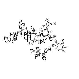 CCCC(C)(CNC(=O)c1c(C)nc2c(OCc3c(F)cccc3F)cc(C3CC3)cn12)NC(=O)O.O=C(O)C(F)(F)F